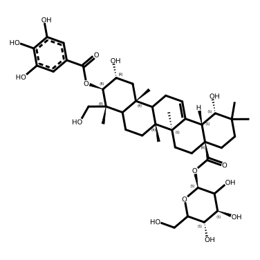 CC1(C)CC[C@]2(C(=O)O[C@@H]3OC(CO)[C@@H](O)[C@H](O)C3O)CC[C@]3(C)C(=CCC4[C@@]5(C)C[C@@H](O)[C@H](OC(=O)c6cc(O)c(O)c(O)c6)[C@@](C)(CO)C5CC[C@]43C)[C@@H]2[C@@H]1O